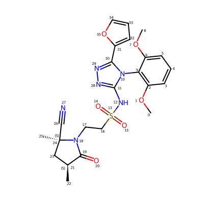 COc1cccc(OC)c1-n1c(NS(=O)(=O)CCN2C(=O)[C@@H](C)C[C@@]2(C)C#N)nnc1-c1ccco1